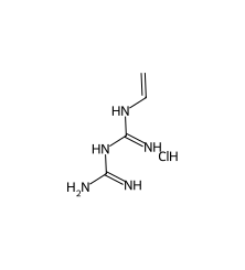 C=CNC(=N)NC(=N)N.Cl